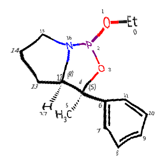 CCOP1O[C@@](C)(c2ccccc2)[C@H]2CCCN21